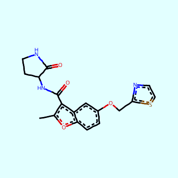 Cc1oc2ccc(OCc3nccs3)cc2c1C(=O)NC1CCNC1=O